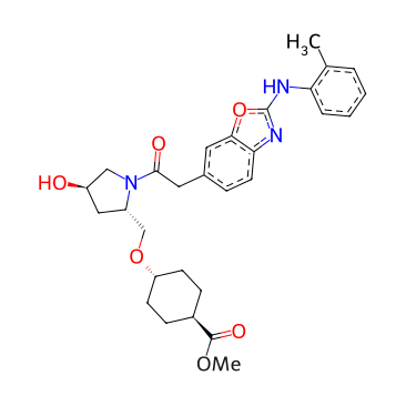 COC(=O)[C@H]1CC[C@H](OC[C@@H]2C[C@@H](O)CN2C(=O)Cc2ccc3nc(Nc4ccccc4C)oc3c2)CC1